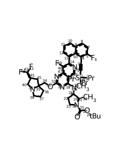 CC(C)[Si](C#Cc1c(F)ccc2cccc(-c3ncc4c(N(C)[C@@H]5CCN(C(=O)OC(C)(C)C)[C@@H]5C)nc(OCC56CCCN5CC(=C(F)F)C6)nc4c3F)c12)(C(C)C)C(C)C